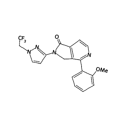 COc1ccccc1-c1nccc2c1CN(c1ccn(CC(F)(F)F)n1)C2=O